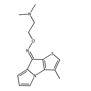 Cc1csc2c1-n1cccc1C2=NOCCN(C)C